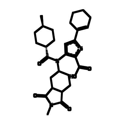 CN1C(=O)C2CCC(N(c3cc(C4=CCCCC4)sc3C(=O)O)C(=O)[C@H]3CC[C@H](C)CC3)CC2C1=O